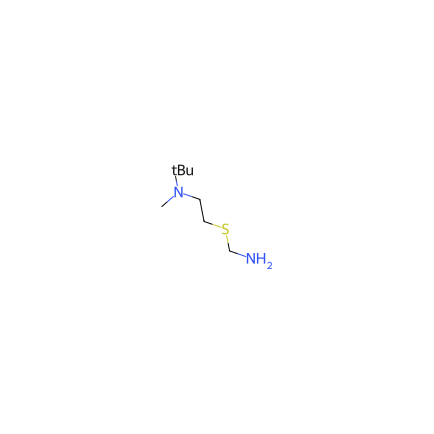 CN(CCSCN)C(C)(C)C